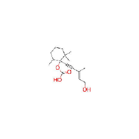 C/C(C#CC1(OC(=O)O)C(C)CCCC1(C)C)=C\CO